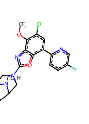 O=C(O)N1C2CCC1CN(c1nc3c(OC(F)(F)F)c(Cl)cc(-c4ccc(F)cn4)c3o1)C2